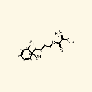 C=C(C)C(=O)OCCCCC1(O)C=CC=CC1O